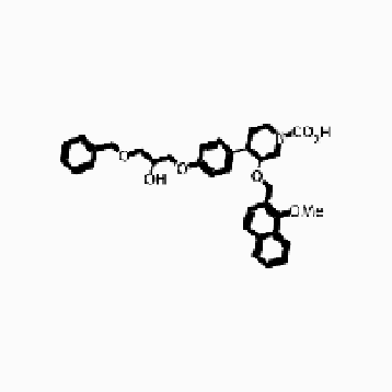 COc1c(CO[C@H]2CN(C(=O)O)CC[C@@H]2c2ccc(OC[C@@H](O)COCc3ccccc3)cc2)ccc2ccccc12